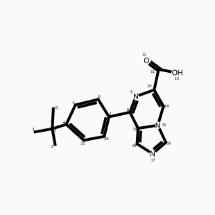 CC(C)(C)c1ccc(-c2nc(C(=O)O)cn3cncc23)cc1